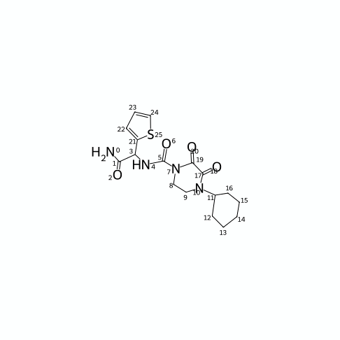 NC(=O)C(NC(=O)N1CCN(C2CCCCC2)C(=O)C1=O)c1cccs1